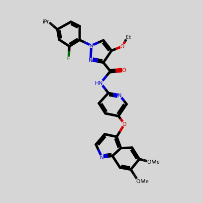 CCOc1cn(-c2ccc(C(C)C)cc2F)nc1C(=O)Nc1ccc(Oc2ccnc3cc(OC)c(OC)cc23)cn1